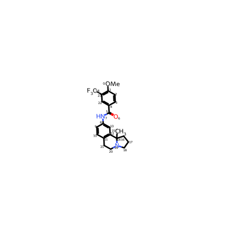 COc1ccc(C(=O)Nc2ccc3c(c2)C2(C)CCCN2CC3)cc1C(F)(F)F